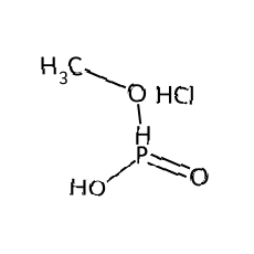 CO[PH](=O)O.Cl